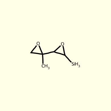 CC1(C2OC2[SiH3])CO1